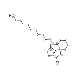 CCCCCCCCCCCCC1CCCCC1(CCO)C1=NCCN1